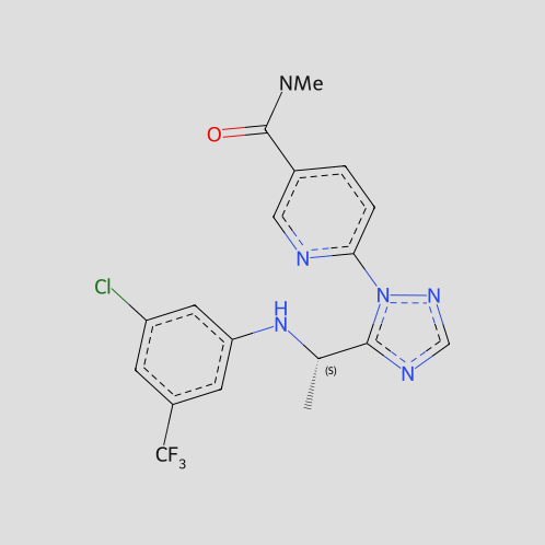 CNC(=O)c1ccc(-n2ncnc2[C@H](C)Nc2cc(Cl)cc(C(F)(F)F)c2)nc1